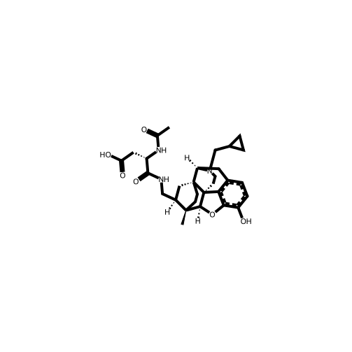 CC(=O)N[C@@H](CC(=O)O)C(=O)NC[C@H]1C[C@@]23CC[C@]1(C)[C@@H]1Oc4c(O)ccc5c4[C@@]12CCN(CC1CC1)[C@@H]3C5